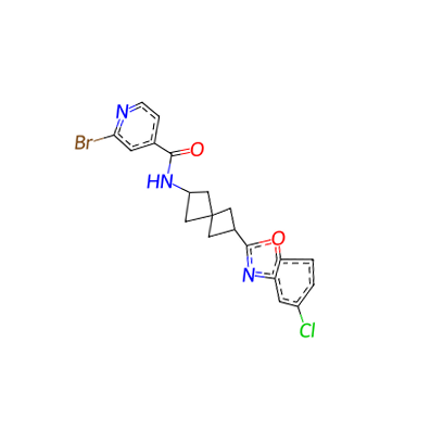 O=C(NC1CC2(C1)CC(c1nc3cc(Cl)ccc3o1)C2)c1ccnc(Br)c1